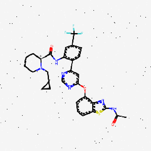 CC(=O)Nc1nc2c(Oc3cc(-c4ccc(C(F)(F)F)cc4NC(=O)[C@@H]4CCCCN4CC4CC4)ncn3)cccc2s1